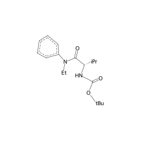 CCN(C(=O)[C@@H](NC(=O)OC(C)(C)C)C(C)C)c1ccccc1